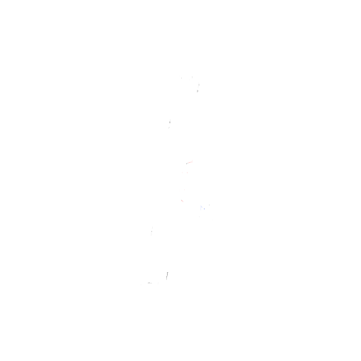 CCCCC/C=C\CCCC/C=C\CCCCC(=O)OC[C@H](CCN(C)C)OC(=O)CCCC/C=C\CCCC/C=C\CCCCC